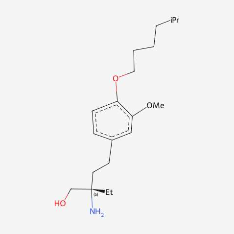 CC[C@@](N)(CO)CCc1ccc(OCCCCC(C)C)c(OC)c1